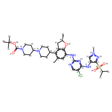 Cc1cc(Nc2ncc(Cl)c(Nc3cn(C)nc3S(=O)(=O)C(C)C)n2)c2c(c1C1CCN(C3CCN(C(=O)OC(C)(C)C)CC3)CC1)C[C@@H](C)O2